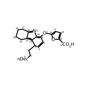 CCCCCCCCCCCCC1C=CC(Oc2ccc(C(=O)O)o2)=C2N=C3CCCCC3=C21